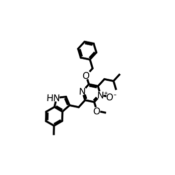 COc1c(Cc2c[nH]c3ccc(C)cc23)nc(OCc2ccccc2)c(CC(C)C)[n+]1[O-]